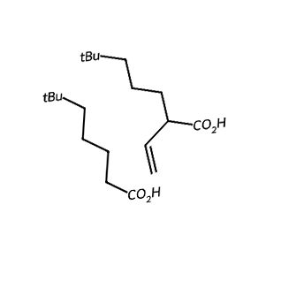 C=CC(CCCC(C)(C)C)C(=O)O.CC(C)(C)CCCCC(=O)O